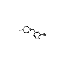 CN1CCN(Cc2ccnc(Br)c2)CC1